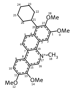 COc1cc2c(ccc3c4ccc(OC)c(OC)c4c[n+](C)c23)c(C2CCCCC2)c1OC